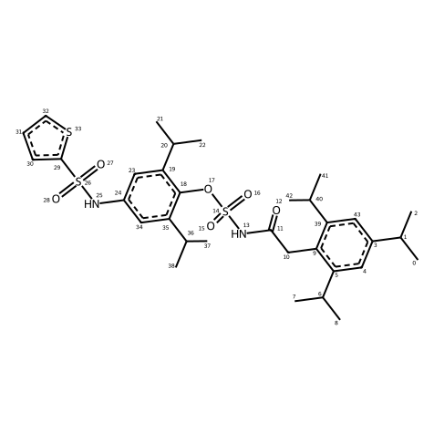 CC(C)c1cc(C(C)C)c(CC(=O)NS(=O)(=O)Oc2c(C(C)C)cc(NS(=O)(=O)c3cccs3)cc2C(C)C)c(C(C)C)c1